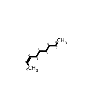 C/C=C\CCCCCC